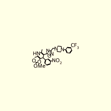 COC(=O)OC1=C(C)NC(C)=C(c2nc(CN3CCN(c4cccc(C(F)(F)F)c4)CC3)no2)C1c1cccc([N+](=O)[O-])c1